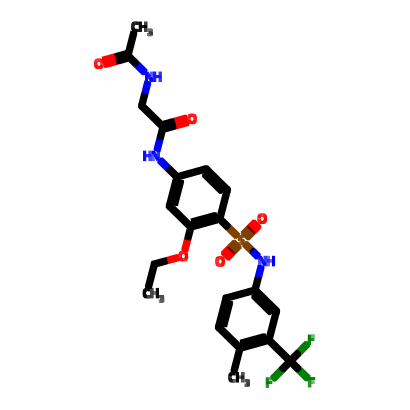 CCOc1cc(NC(=O)CNC(C)=O)ccc1S(=O)(=O)Nc1ccc(C)c(C(F)(F)F)c1